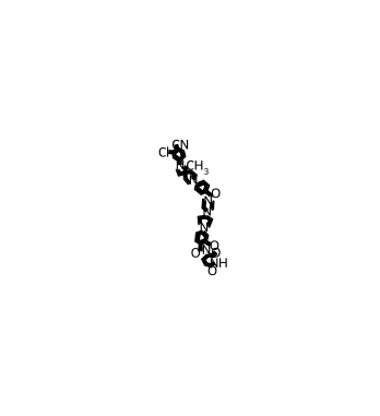 C[C@H]1N(c2ccc(C#N)c(Cl)c2)CCC12CCN(c1ccc(C(=O)N3CCN(C4CCN(c5ccc6c(c5)C(=O)N(C5CCC(=O)NC5=O)C6=O)CC4)CC3)cc1)CC2